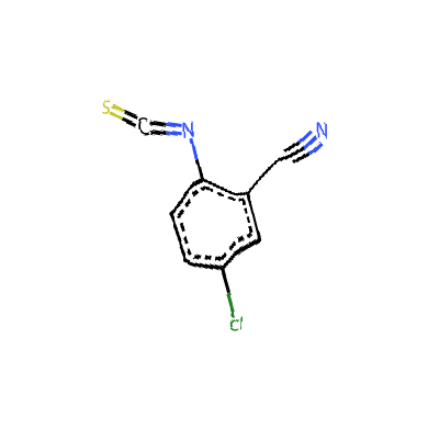 N#Cc1cc(Cl)ccc1N=C=S